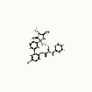 CN1C(=N)NC(C)(c2cccc(-c3cc(I)ccc3CNC(=O)Nc3ccccc3)c2)C1=O